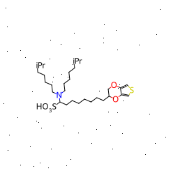 CC(C)CCCCCN(CCCCCC(C)C)C(CCCCCCCC1COc2cscc2O1)S(=O)(=O)O